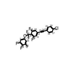 Fc1cc(OC(F)(F)c2c(F)cc(C#Cc3ccc(Cl)cc3)cc2F)cc(F)c1F